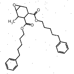 CC1C2OC2CC(C(=O)OCCCCCc2ccccc2)C1C(=O)OCCCCCc1ccccc1